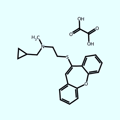 CN(CCSC1=Cc2ccccc2Oc2ccccc21)CC1CC1.O=C(O)C(=O)O